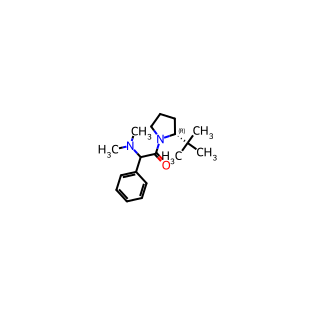 CN(C)C(C(=O)N1CCC[C@@H]1C(C)(C)C)c1ccccc1